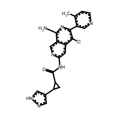 Cc1ccncc1-c1nc(N)c2cnc(NC(=O)C3CC3c3cn[nH]c3)cc2c1Cl